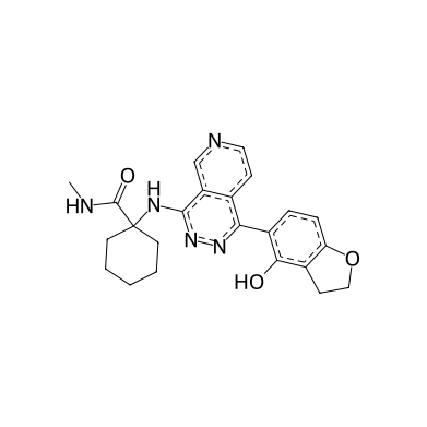 CNC(=O)C1(Nc2nnc(-c3ccc4c(c3O)CCO4)c3ccncc23)CCCCC1